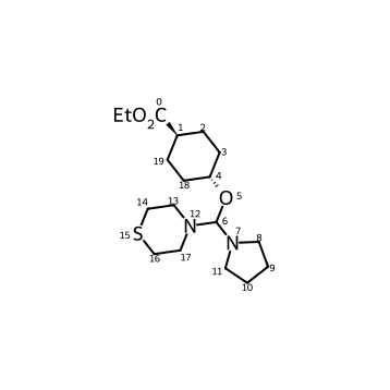 CCOC(=O)[C@H]1CC[C@H](OC(N2CCCC2)N2CCSCC2)CC1